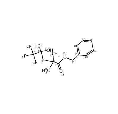 CC(C)(CC(C)(O)C(F)(F)F)C(=O)OCc1ccccc1